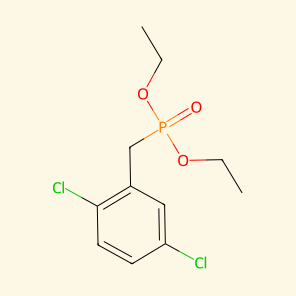 CCOP(=O)(Cc1cc(Cl)ccc1Cl)OCC